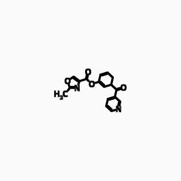 Cc1nc(C(=O)OC2=CC(C(=O)c3cccnc3)CC=C2)co1